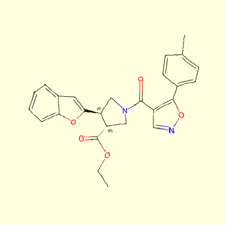 CCOC(=O)[C@H]1CN(C(=O)c2cnoc2-c2ccc(C)cc2)C[C@@H]1c1cc2ccccc2o1